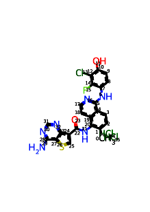 Cc1ccc2c(Nc3ccc(O)c(Cl)c3F)nccc2c1NC(=O)c1csc2c(N)ncnc12.Cl.Cl